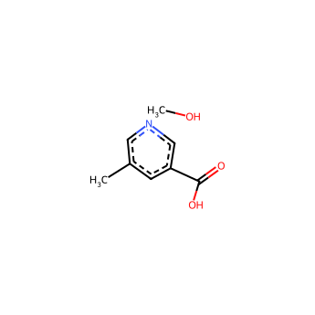 CO.Cc1cncc(C(=O)O)c1